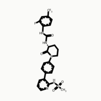 CS(=O)(=O)Nc1ncccc1-c1ccc(N2CCC[C@@H](NC(=O)Nc3ccc(C(F)(F)F)cc3F)C2=O)cc1